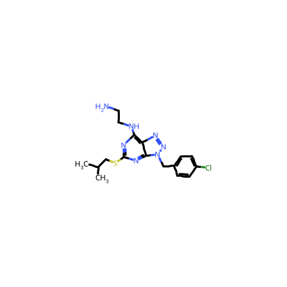 CC(C)CSc1nc(NCCN)c2nnn(Cc3ccc(Cl)cc3)c2n1